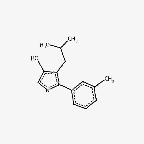 Cc1cccc(-n2ncc(O)c2CC(C)C)c1